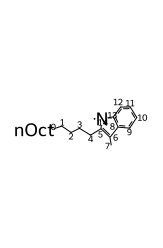 CCCCCCCCCCCCC1=C(C)c2ccccc2[N]1